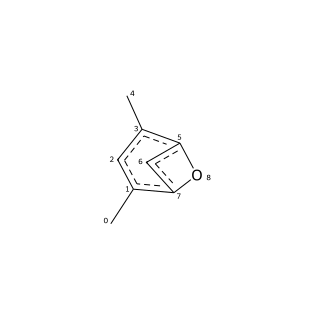 Cc1cc(C)c2cc1O2